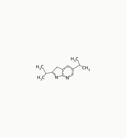 CC(C)C1=Nc2ncc(C(C)C)cc2C1